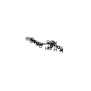 Cc1ncsc1-c1ccc([C@H](C)NC(=O)[C@@H]2C[C@@H](O)CN2C(=O)[C@@H](NC(=O)CCCCCNC(=O)c2ccc(N3CCN(C(=O)OC(C)(C)C)CC3)nc2)C(C)(C)C)cc1